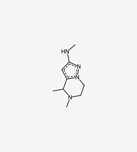 CNc1cc2n(n1)CCN(C)C2C